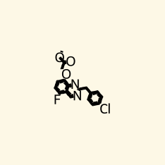 COC(=O)COc1ccc(F)c2cnc(Cc3ccc(Cl)cc3)nc12